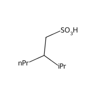 CCCC(CS(=O)(=O)O)C(C)C